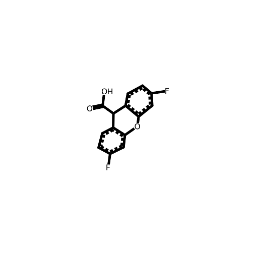 O=C(O)C1c2ccc(F)cc2Oc2cc(F)ccc21